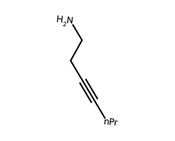 CCCC#CCCN